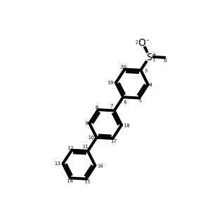 C[S+]([O-])c1ccc(-c2ccc(-c3ccccc3)cc2)cc1